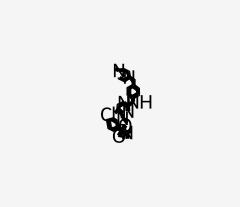 CN1CCN(Cc2ccc(Nc3ncc(Cl)c(N(C)c4ccccc4S(=O)(=O)N(C)C)n3)cc2)CC1